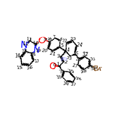 O=C(/C=C/C1(c2ccc(Oc3cnc4ccccc4n3)cc2)C=CC=C(c2ccc(Br)cc2)C1)c1ccccc1